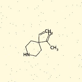 C=CC1(C(C)=O)CCNCC1